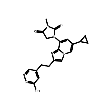 CN1C(=O)CN(c2cc(C3CC3)cn3cc(CCc4cnnc(O)c4)nc23)C1=O